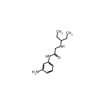 CCC(CC)NCC(=O)Nc1cccc(N)c1